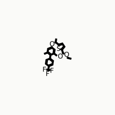 CCOC(=O)c1ccc(C(C)Oc2cc(C)c(-c3ccc(C(F)(F)F)cc3)c(C)c2)s1